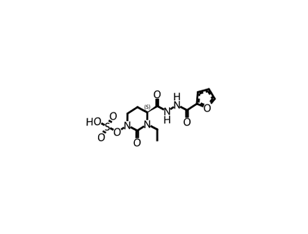 CCN1C(=O)N(OS(=O)(=O)O)CC[C@H]1C(=O)NNC(=O)c1ccco1